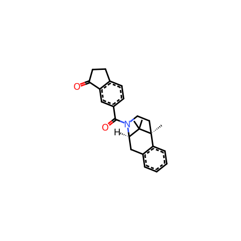 CC1(C)[C@H]2Cc3ccccc3[C@]1(C)CCN2C(=O)c1ccc2c(c1)C(=O)CC2